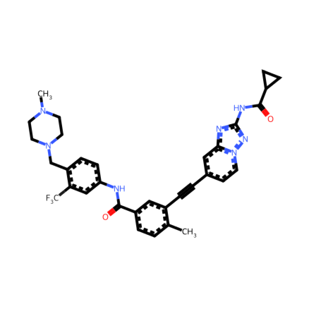 Cc1ccc(C(=O)Nc2ccc(CN3CCN(C)CC3)c(C(F)(F)F)c2)cc1C#Cc1ccn2nc(NC(=O)C3CC3)nc2c1